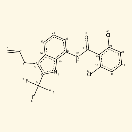 C=CCn1c(C(F)(F)F)nc2c(NC(=O)c3c(Cl)cccc3Cl)cccc21